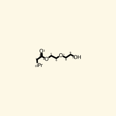 CC(C)CC(=O)OCCOCCO